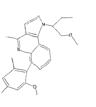 CCC(COC)n1ccc2c(C)nc3c(-c4c(C)cc(C)cc4OC)cccc3c21